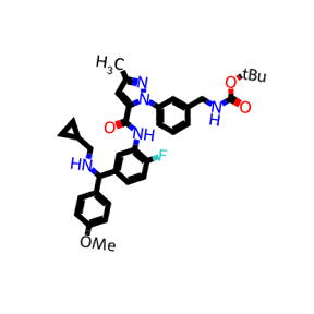 COc1ccc(C(NCC2CC2)c2ccc(F)c(NC(=O)c3cc(C)nn3-c3cccc(CNC(=O)OC(C)(C)C)c3)c2)cc1